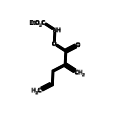 C=CCC(=C)C(=O)ONC(=O)OCC